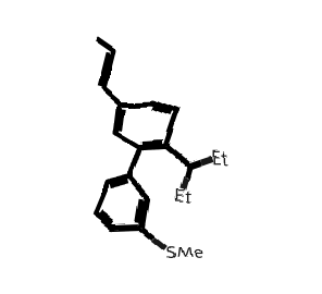 C/C=C/c1ccc(C(CC)CC)c(-c2cccc(SC)c2)c1